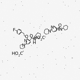 O=C(O)C[C@@H]1CCCN(c2ccc(C(=O)NC3CCCCC3)c(OCCc3ccc(F)cc3)n2)C1.O=C(O)C[C@@H]1CCCN(c2ccc(C(=O)NC3CCCCC3)cn2)C1